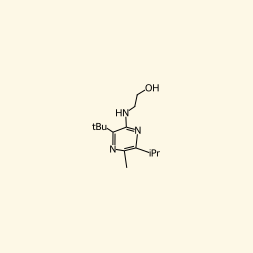 Cc1nc(C(C)(C)C)c(NCCO)nc1C(C)C